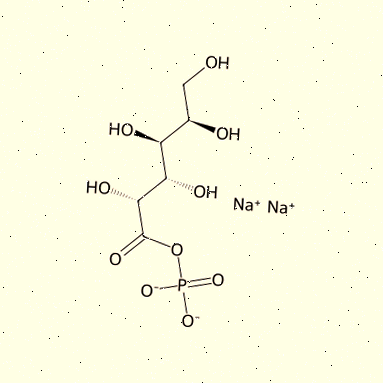 O=C(OP(=O)([O-])[O-])[C@H](O)[C@@H](O)[C@@H](O)[C@H](O)CO.[Na+].[Na+]